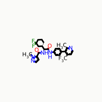 Cc1nccc(C(F)(F)F)c1-c1ccc(NC(=O)[C@@H](NC(=O)c2ccnn2C)[C@H]2CCCC(F)(F)C2)cc1